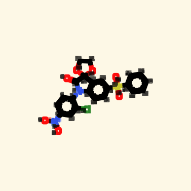 O=C1N(c2ccc([N+](=O)[O-])cc2Cl)c2ccc(S(=O)(=O)c3ccccc3)cc2C12OCCO2